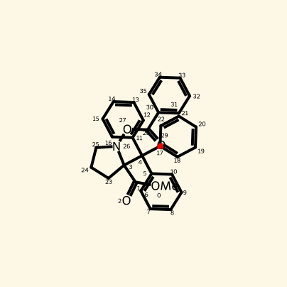 COC(=O)C1(C(c2ccccc2)(c2ccccc2)c2ccccc2)CCCN1OC(=O)c1ccccc1